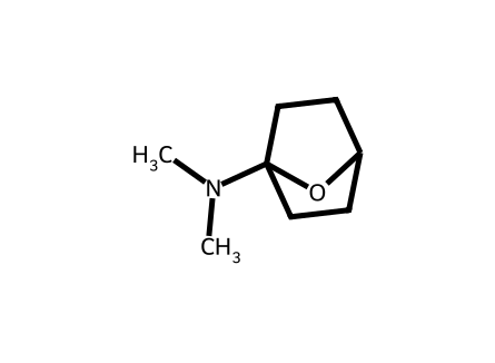 CN(C)C12CCC(CC1)O2